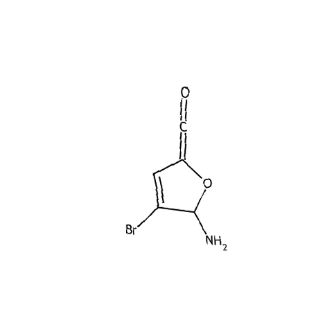 NC1OC(=C=O)C=C1Br